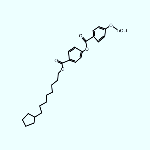 CCCCCCCCOc1ccc(C(=O)Oc2ccc(C(=O)OCCCCCCCCC3CCCC3)cc2)cc1